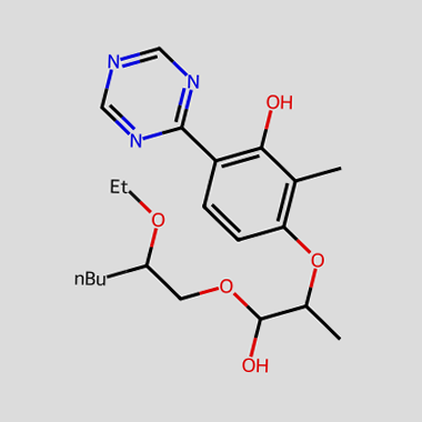 CCCCC(COC(O)C(C)Oc1ccc(-c2ncncn2)c(O)c1C)OCC